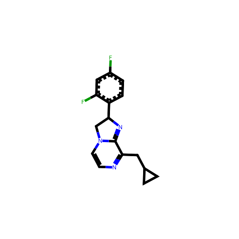 Fc1ccc(C2CN3C=CN=C(CC4CC4)C3=N2)c(F)c1